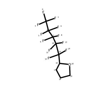 FC(F)(F)C(F)(F)C(F)(F)C(F)(F)C(F)(F)C1CCCO1